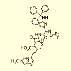 CCO/N=C(\C(=O)N[C@@H]1C(=O)N2C(C(=O)O)=C(C=Cc3csc4cn(C)c[n+]34)CS[C@H]12)c1csc(NC(c2ccccc2)(c2ccccc2)c2ccccc2)n1.[I-]